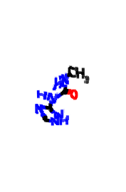 CNC(=O)Nc1nc[nH]n1